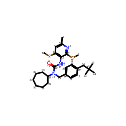 CSc1cc(C)nc(SC)c1NC(=O)N(Cc1ccc(CC(C)(C)C)cc1)C1CCCCCC1